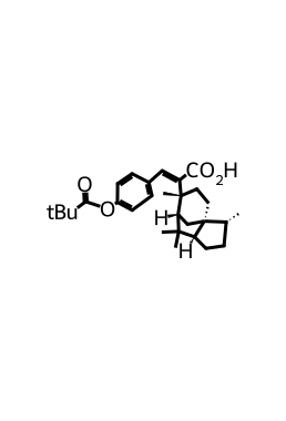 C[C@@H]1CC[C@H]2C(C)(C)[C@H]3C[C@@]12CC[C@@]3(C)/C(=C\c1ccc(OC(=O)C(C)(C)C)cc1)C(=O)O